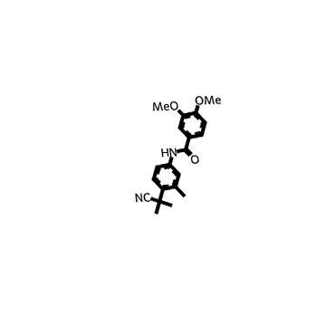 COc1ccc(C(=O)Nc2ccc(C(C)(C)C#N)c(C)c2)cc1OC